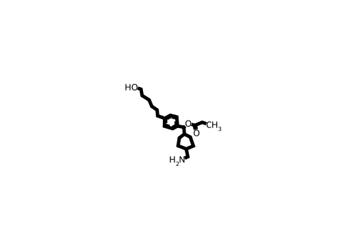 CCC(=O)OC(c1ccc(CCCCCCO)cc1)C1CCC(CN)CC1